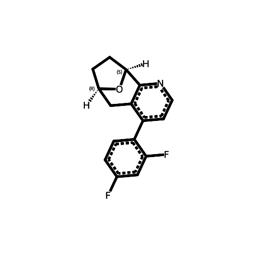 Fc1ccc(-c2ccnc3c2C[C@H]2CC[C@@H]3O2)c(F)c1